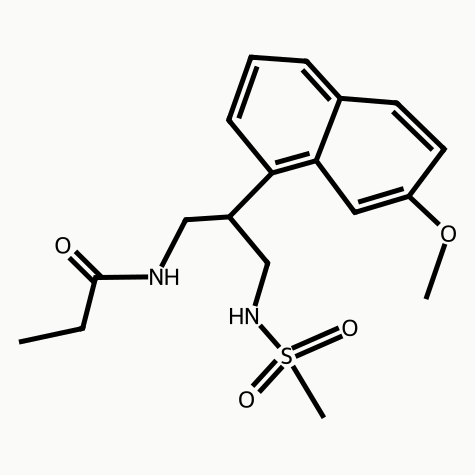 CCC(=O)NCC(CNS(C)(=O)=O)c1cccc2ccc(OC)cc12